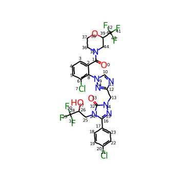 O=C(c1cccc(Cl)c1-n1cnc(Cn2nc(-c3ccc(Cl)cc3)n(CC(O)C(F)(F)F)c2=O)n1)N1CCOC(C(F)(F)F)C1